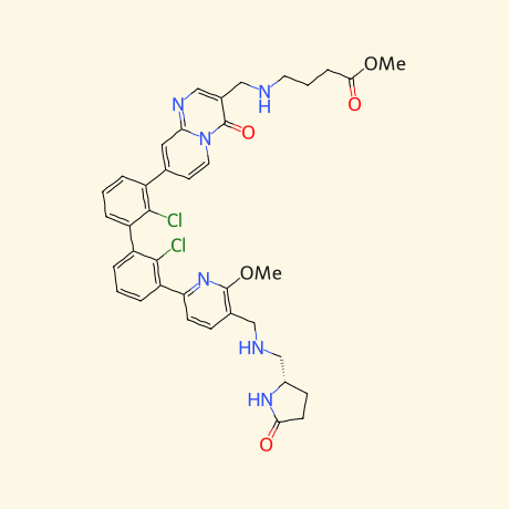 COC(=O)CCCNCc1cnc2cc(-c3cccc(-c4cccc(-c5ccc(CNC[C@@H]6CCC(=O)N6)c(OC)n5)c4Cl)c3Cl)ccn2c1=O